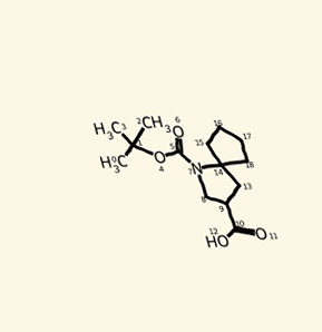 CC(C)(C)OC(=O)N1CC(C(=O)O)CC12CCCC2